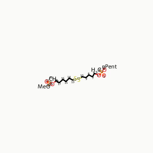 CCCCCOP(C)(=O)OCCCCCSSCCCCCCOP(C)(=O)OC